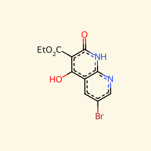 CCOC(=O)c1c(O)c2cc(Br)cnc2[nH]c1=O